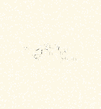 COc1cc(-c2[nH]nc(-c3ncc(N4C[C@H](C)N(CC(C)C)C[C@H]4C)s3)c2C(C)C)cn2ncnc12